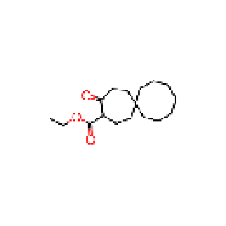 CCOC(=O)C1CCC2(CCCCCCC2)CCC1=O